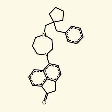 O=C1Cc2ccc(N3CCCN(CC4(Cc5ccccc5)CCCC4)CC3)c3cccc1c23